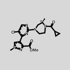 COC(=O)c1nn(C)cc1-c1nc(N2CCN(C(=O)C3CC3)[C@H](C)C2)ncc1Cl